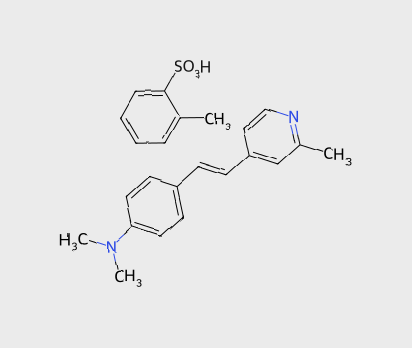 Cc1cc(C=Cc2ccc(N(C)C)cc2)ccn1.Cc1ccccc1S(=O)(=O)O